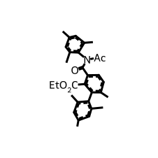 CCOC(=O)c1c(C(=O)N(C(C)=O)c2c(C)cc(C)cc2C)ccc(C)c1-c1c(C)cc(C)cc1C